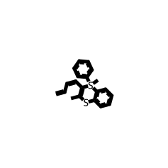 C=C/C=C\C1=C(C)Sc2ccccc2S1(C)c1ccccc1